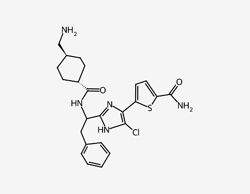 NC[C@H]1CC[C@H](C(=O)NC(Cc2ccccc2)c2nc(-c3ccc(C(N)=O)s3)c(Cl)[nH]2)CC1